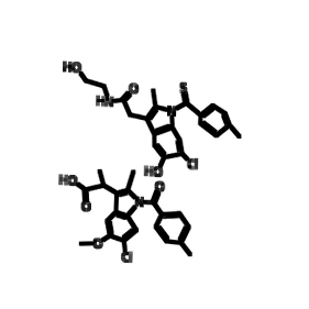 COc1cc2c(C(C)C(=O)O)c(C)n(C(=O)c3ccc(C)cc3)c2cc1Cl.Cc1ccc(C(=S)n2c(C)c(CC(=O)NCCO)c3cc(O)c(Cl)cc32)cc1